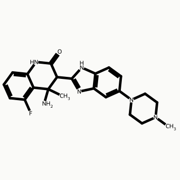 CN1CCN(c2ccc3[nH]c(C4C(=O)Nc5cccc(F)c5C4(C)N)nc3c2)CC1